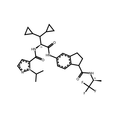 CC(C)n1nccc1C(=O)N[C@H](C(=O)Nc1ccc2c(c1)CCC2C(=O)N[C@@H](C)C(F)(F)F)C(C1CC1)C1CC1